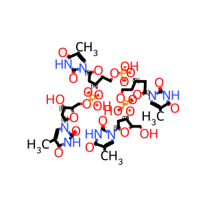 Cc1cn([C@H]2C[C@@H](O)C(COP(=O)(O)O[C@@H]3C[C@H](n4cc(C)c(=O)[nH]c4=O)OC3COP(=O)(O)O[C@@H]3C[C@H](n4cc(C)c(=O)[nH]c4=O)OC3COP(=O)(O)O[C@@H]3C[C@H](n4cc(C)c(=O)[nH]c4=O)OC3CO)O2)c(=O)[nH]c1=O